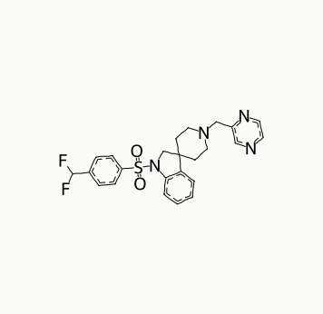 O=S(=O)(c1ccc(C(F)F)cc1)N1CC2(CCN(Cc3cnccn3)CC2)c2ccccc21